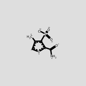 Cc1csc(C(N)=O)c1S(=O)(=O)Cl